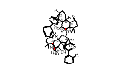 C=C1C(=O)[C@]23[C@H](OC(=O)c4ccccc4Cl)[C@H]1C(O[C@H]1[C@@H]4C(C)(C)CCC(=O)[C@]45CO[C@@]1(O)[C@]14C(=O)C(=C)[C@H](CC[C@@H]51)[C@H]4OC(=O)c1ccccc1)C[C@H]2[C@@]12CO[C@]3(O)[C@@H](O)[C@@H]1C(C)(C)CCC2=O